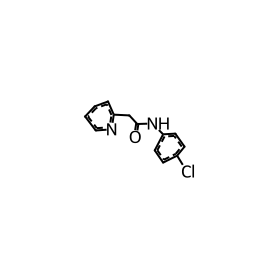 O=C(Cc1ccccn1)Nc1ccc(Cl)cc1